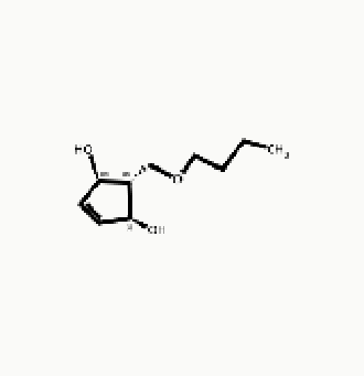 CCCCOC[C@H]1[C@H](O)C=C[C@@H]1O